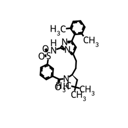 Cc1cccc(C)c1-c1cc2nc(n1)NS(=O)(=O)c1cccc(c1)C(=O)N[C@H](CC(C)(C)C)CC2